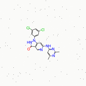 Cc1cc(Nc2cc3c(cn2)c(=O)[nH]n3-c2cc(Cl)cc(Cl)c2)nc(C)n1